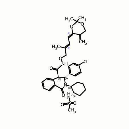 C=C1COC(C)(C)O/C1=C/C=C(\C)CONC(=O)[C@@H]1c2ccccc2C(=O)N([C@H]2CCCC[C@@H]2NS(C)(=O)=O)[C@H]1c1ccc(Cl)cc1